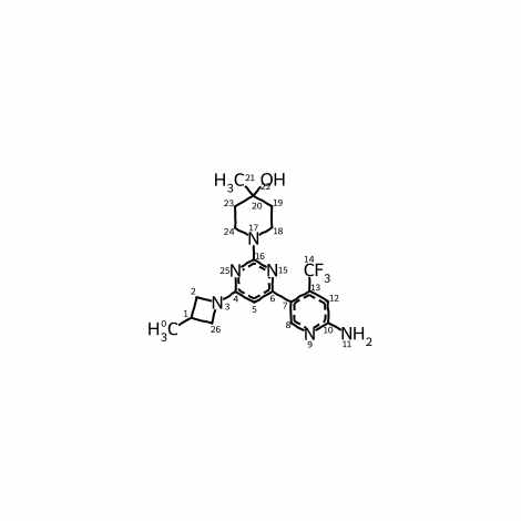 CC1CN(c2cc(-c3cnc(N)cc3C(F)(F)F)nc(N3CCC(C)(O)CC3)n2)C1